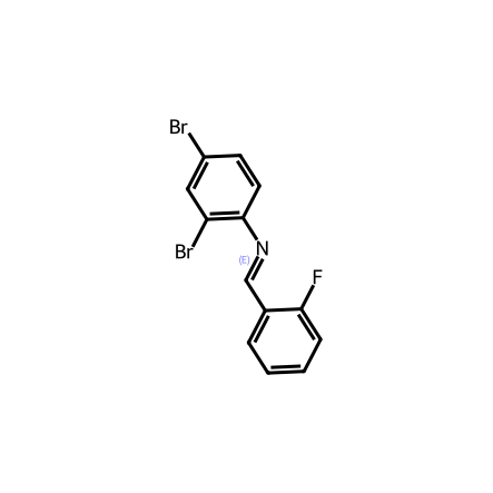 Fc1ccccc1/C=N/c1ccc(Br)cc1Br